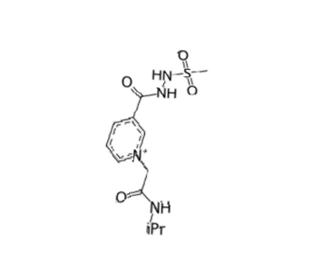 CC(C)NC(=O)C[n+]1cccc(C(=O)NNS(C)(=O)=O)c1